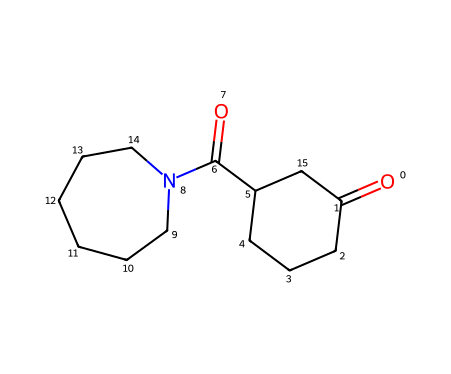 O=C1CCCC(C(=O)N2CCCCCC2)C1